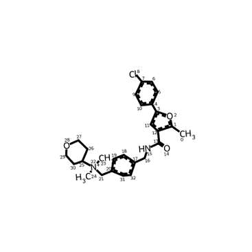 Cc1oc(-c2ccc(Cl)cc2)cc1C(=O)NCc1ccc(C[N+](C)(C)C2CCOCC2)cc1